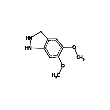 COc1cc2c(cc1OC)NNC2